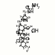 CCc1ccc(OC)c(S(=O)(=O)Nc2noc3cc(Cn4cc(CNC(=O)CN)cn4)cc(OC)c23)c1.Cl